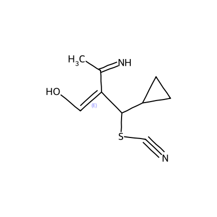 CC(=N)/C(=C\O)C(SC#N)C1CC1